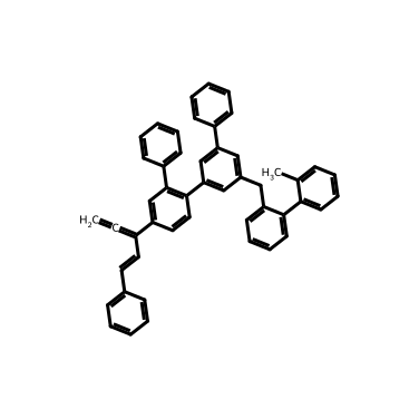 C=C=C(/C=C/c1ccccc1)c1ccc(-c2cc(Cc3ccccc3-c3ccccc3C)cc(-c3ccccc3)c2)c(-c2ccccc2)c1